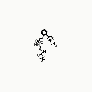 CC(C)(C)OC(=O)NCCNS(=O)(=O)CCc1ccccc1-c1csc(N)n1